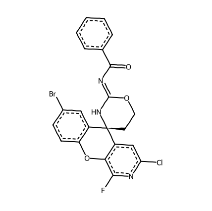 O=C(/N=C1/N[C@@]2(CCO1)c1cc(Br)ccc1Oc1c2cc(Cl)nc1F)c1ccccc1